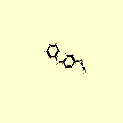 S=C=Nc1ccc(Oc2ccccc2)nc1